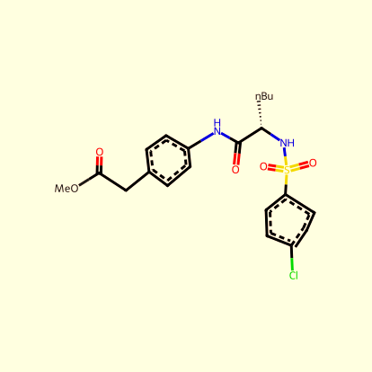 CCCC[C@H](NS(=O)(=O)c1ccc(Cl)cc1)C(=O)Nc1ccc(CC(=O)OC)cc1